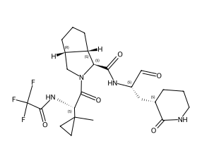 CC1([C@H](NC(=O)C(F)(F)F)C(=O)N2C[C@@H]3CCC[C@@H]3[C@H]2C(=O)N[C@H](C=O)C[C@@H]2CCCNC2=O)CC1